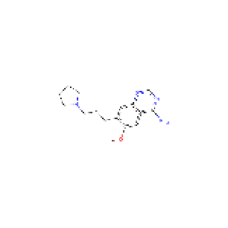 COc1cc2c(N)ncnc2cc1CCCN1CCCC1